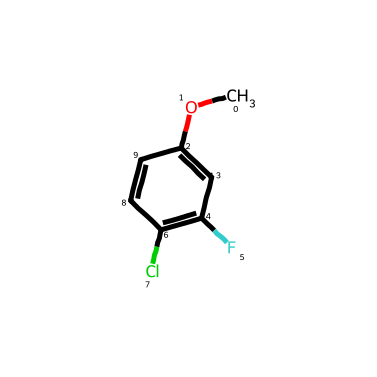 COc1[c]c(F)c(Cl)cc1